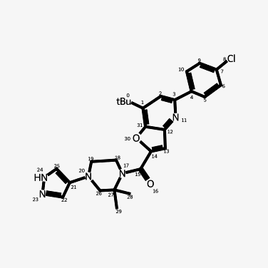 CC(C)(C)c1cc(-c2ccc(Cl)cc2)nc2cc(C(=O)N3CCN(c4cn[nH]c4)CC3(C)C)oc12